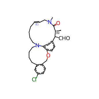 C[C@@H]1C(=O)N(C)C/C=C/CCCCN2CCCCc3cc(Cl)ccc3COc3ccc(cc32)C1C=O